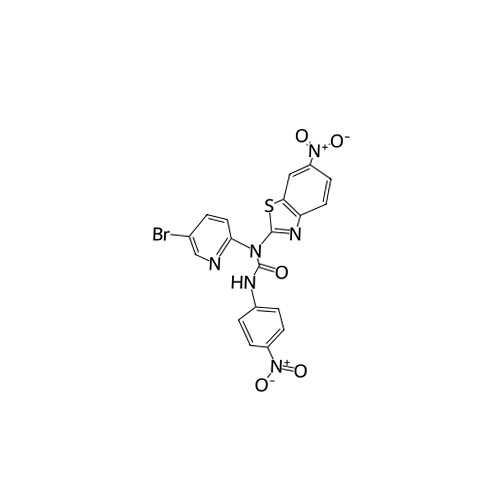 O=C(Nc1ccc([N+](=O)[O-])cc1)N(c1ccc(Br)cn1)c1nc2ccc([N+](=O)[O-])cc2s1